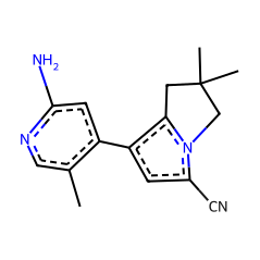 Cc1cnc(N)cc1-c1cc(C#N)n2c1CC(C)(C)C2